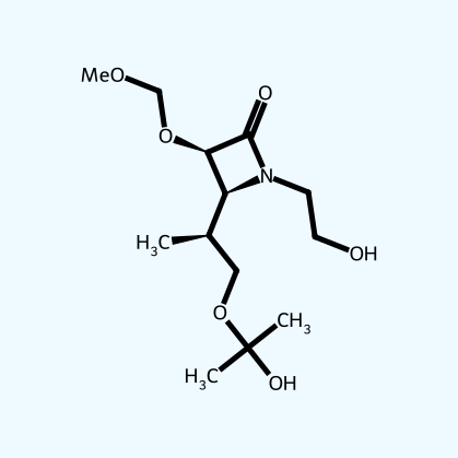 COCO[C@H]1C(=O)N(CCO)[C@H]1[C@H](C)COC(C)(C)O